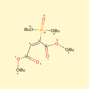 CC(C)COOC(=O)/C=C(\C(=O)OOCC(C)C)P(=O)(OCC(C)C)OCC(C)C